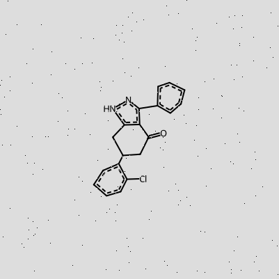 O=C1CC(c2ccccc2Cl)Cc2[nH]nc(-c3ccccc3)c21